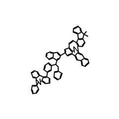 CC1(C)c2ccccc2-c2c1ccc1c2C=Cc2cc(-c3cc(C(Cc4ccccc4)c4cccc(-c5cccc6c5c5ccccc5n6-c5ccccc5)c4)c4ccccc4c3)cc3c4cc5ccccc5cc4n-1c23